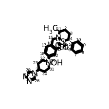 C[C@H]1CC[C@H](c2ccccc2)S(=O)(=O)N1Cc1ccc([N+]2(O)CCC(n3cnnc3)CC2)cc1F